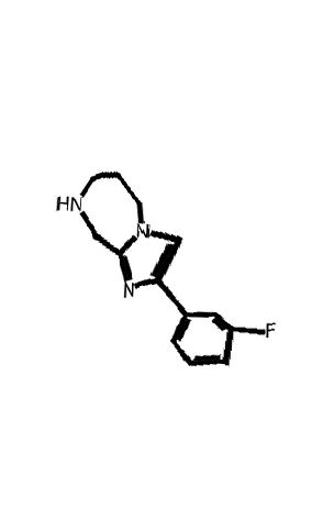 Fc1cccc(-c2cn3c(n2)CNCCC3)c1